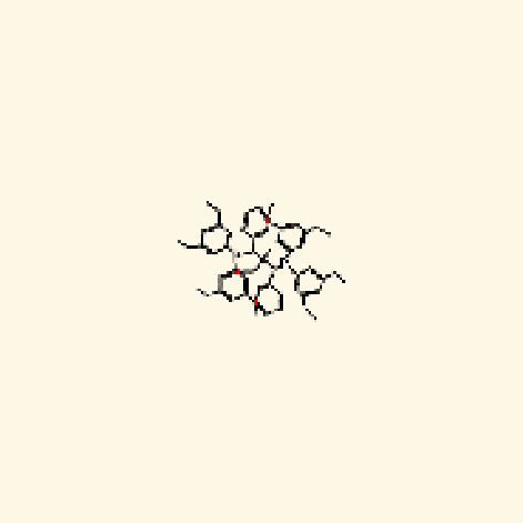 CCc1cc(CC)cc(P(c2cc(CC)cc(CC)c2)C(c2ccccc2)C(C)(CC)C(c2ccccc2)P(c2cc(CC)cc(CC)c2)c2cc(CC)cc(CC)c2)c1